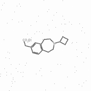 CCOC(=O)Cc1ccc2c(c1)CCN(C1CCC1)CC2